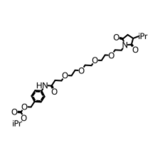 CC(C)OC(=O)OCc1ccc(NC(=O)CCOCCOCCOCCOCCN2C(=O)CC(C(C)C)C2=O)cc1